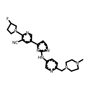 CN1CCN(Cc2ccc(Nc3nccc(-c4cnc(N5CCC(F)C5)c(C#N)c4)n3)cn2)CC1